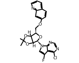 CC1(C)O[C@@H]2[C@H](O1)[C@@H](COc1ccc3cccnc3c1)O[C@H]2n1cc(F)c2c(Cl)ncnc21